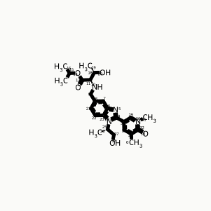 Cc1cc(-c2nc3cc(CN[C@H](C(=O)OC(C)C)[C@H](C)O)ccc3n2[C@@H](C)CO)cn(C)c1=O